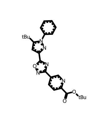 CC(C)(C)OC(=O)c1ccc(-c2noc(-c3cc(C(C)(C)C)n(-c4ccccc4)n3)n2)cn1